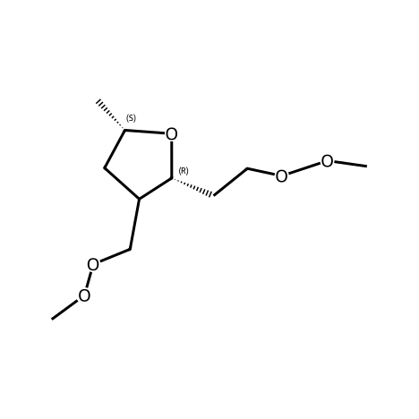 COOCC[C@H]1O[C@@H](C)CC1COOC